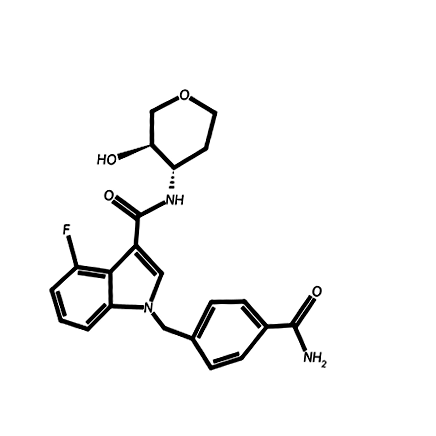 NC(=O)c1ccc(Cn2cc(C(=O)N[C@H]3CCOC[C@@H]3O)c3c(F)cccc32)cc1